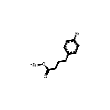 CCCCOC(=O)CCCc1ccc(Br)cc1